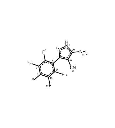 Cc1c(F)c(F)c(-c2n[nH]c(N)c2C#N)c(F)c1F